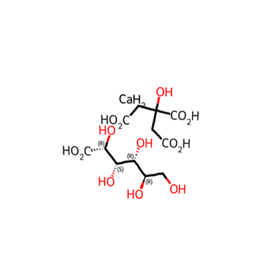 O=C(O)CC(O)(CC(=O)O)C(=O)O.O=C(O)[C@H](O)[C@@H](O)[C@H](O)[C@H](O)CO.[CaH2]